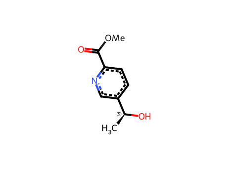 COC(=O)c1ccc([C@H](C)O)cn1